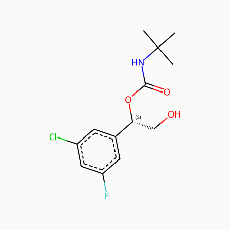 CC(C)(C)NC(=O)O[C@H](CO)c1cc(F)cc(Cl)c1